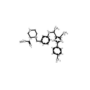 COC(=O)[C@@H]1COCCN1Cc1cccc(OC(C)c2nc(-c3ccc(C(F)(F)F)cc3)oc2C)c1